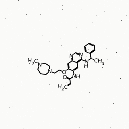 C=CC(=O)Nc1cc2c(N[C@H](C)c3ccccc3)ncnc2cc1OCCN1CCCN(C)CC1